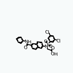 O=C(O)CN(c1ccc2cc(C(=O)Nc3ccccc3)ccc2c1)S(=O)(=O)c1cc(Cl)cc(Cl)c1